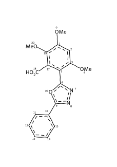 COc1cc(OC)c(-c2nnc(-c3ccccc3)o2)c(C(=O)O)c1OC